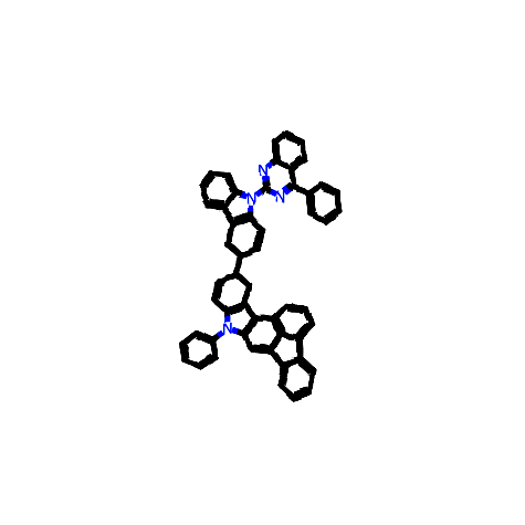 C1=CC(C2C=Cc3c(c4c5cccc6c5c(cc4n3-c3ccccc3)-c3ccccc3-6)C2)Cc2c1n(-c1nc(-c3ccccc3)c3ccccc3n1)c1ccccc21